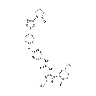 Cc1ccc(F)c(-n2nc(C(C)(C)C)cc2NC(=O)Nc2cnc(Oc3ccc(-c4cnc(N5CCCC5=O)s4)cc3)nc2)c1